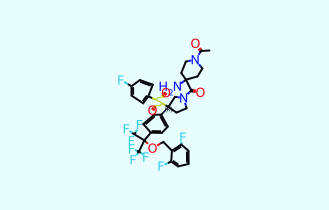 CC(=O)N1CCC(N)(C(=O)N2CC[C@](c3ccc(C(OCc4c(F)cccc4F)(C(F)(F)F)C(F)(F)F)cc3)(S(=O)(=O)c3ccc(F)cc3)C2)CC1